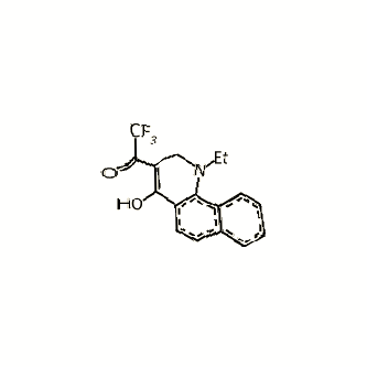 CCN1CC(C(=O)C(F)(F)F)=C(O)c2ccc3ccccc3c21